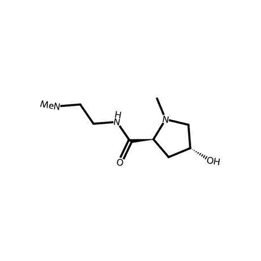 CNCCNC(=O)[C@@H]1C[C@@H](O)CN1C